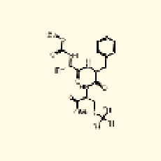 [2H]C([2H])([2H])SC[C@H](NC(=O)[C@H](Cc1ccccc1)NC(=O)[C@@H](NC(=O)OC(C)(C)C)C(C)C)C(=O)OC